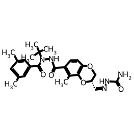 Cc1cc(C)cc(C(=O)N(NC(=O)c2ccc3c(c2C)O[C@@H](/C=N\NC(N)=O)CO3)C(C)(C)C)c1